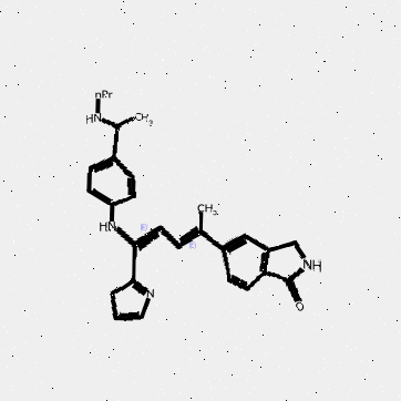 CCCNC(C)c1ccc(N/C(=C/C=C(\C)c2ccc3c(c2)CNC3=O)C2=NC=CC2)cc1